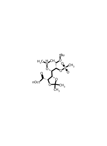 CCCCCCCCC(=O)[C@H]1OC(C)(C)O[C@H]1[C@H](O[SiH](C)C)[C@H](COC(C)(C)C)OS(C)(=O)=O